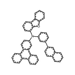 c1cc(-c2ccc3ccccc3c2)cc(N(c2ccc3c4ccccc4c4ccccc4c3c2)c2cccc3c2oc2ccccc23)c1